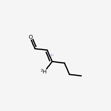 [2H]/C(=C\C=O)CCC